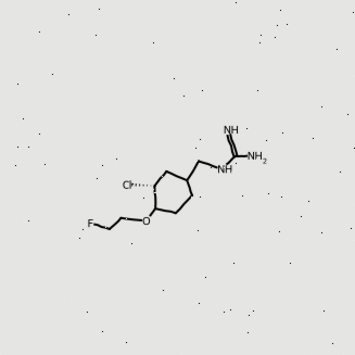 N=C(N)NCC1CCC(OCCF)[C@H](Cl)C1